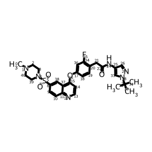 CN1CCN(S(=O)(=O)c2ccc3nccc(Oc4ccc(CC(=O)Nc5cnn(C(C)(C)C)c5)c(F)c4)c3c2)CC1